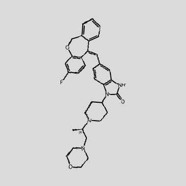 C[C@H](CN1CCOCC1)N1CCC(n2c(=O)[nH]c3cc(C=C4c5ccccc5COc5cc(F)ccc54)ccc32)CC1